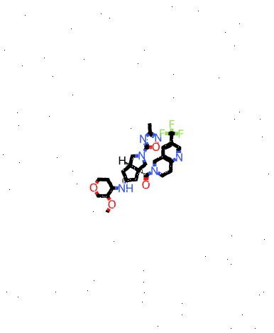 COC1COCCC1N[C@@H]1C[C@H]2CN(c3nc(C)no3)C[C@@]2(C(=O)N2CCc3ncc(C(F)(F)F)cc3C2)C1